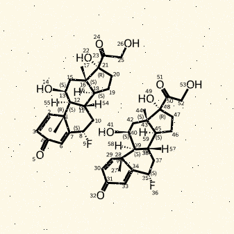 C[C@]12C=CC(=O)C=C1[C@@H](F)C[C@@H]1[C@@H]2[C@@H](O)C[C@@]2(C)[C@H]1CC[C@]2(O)C(=O)CO.C[C@]12C=CC(=O)C=C1[C@@H](F)C[C@@H]1[C@@H]2[C@@H](O)C[C@@]2(C)[C@H]1CC[C@]2(O)C(=O)CO